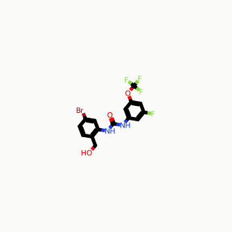 O=C(Nc1cc(F)cc(OC(F)(F)F)c1)Nc1cc(Br)ccc1CO